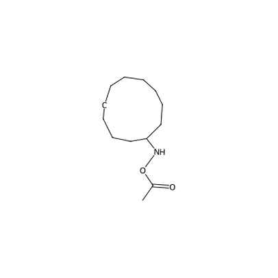 CC(=O)ONC1CCCCCCCCCC1